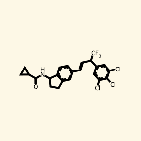 O=C(NC1CCc2cc(/C=C/C(c3cc(Cl)c(Cl)c(Cl)c3)C(F)(F)F)ccc21)C1CC1